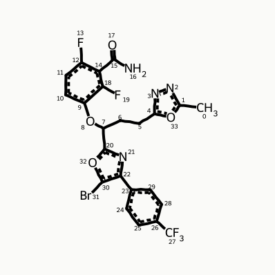 Cc1nnc(CCC(Oc2ccc(F)c(C(N)=O)c2F)c2nc(-c3ccc(C(F)(F)F)cc3)c(Br)o2)o1